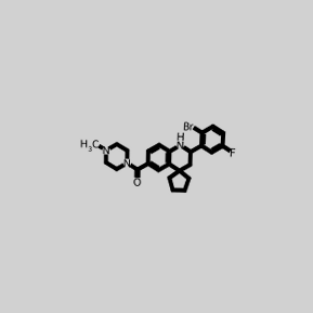 CN1CCN(C(=O)c2ccc3c(c2)C2(CCCC2)CC(c2cc(F)ccc2Br)N3)CC1